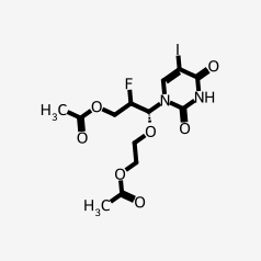 CC(=O)OCCO[C@H](C(F)COC(C)=O)n1cc(I)c(=O)[nH]c1=O